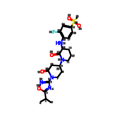 CC(C)c1nc(N2CC[C@H](N3CCCC(Nc4ccc(S(C)(=O)=O)cc4F)C3=O)CC2=O)no1